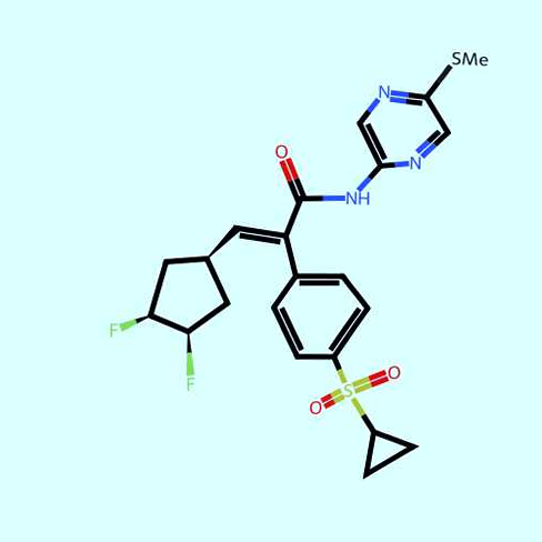 CSc1cnc(NC(=O)/C(=C/[C@H]2C[C@@H](F)[C@@H](F)C2)c2ccc(S(=O)(=O)C3CC3)cc2)cn1